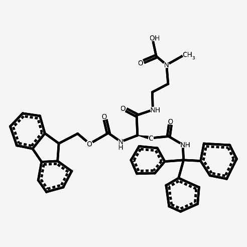 CN(CCNC(=O)[C@@H](CC(=O)NC(c1ccccc1)(c1ccccc1)c1ccccc1)NC(=O)OCC1c2ccccc2-c2ccccc21)C(=O)O